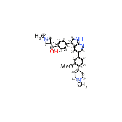 COc1cc(-c2cnc3[nH]cc(-c4ccc(C(O)C5CN(C)C5)cc4)c3c2)ccc1C1CCN(C)CC1